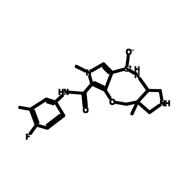 Cc1cc(NC(=O)c2c3c(cn2C)[S+]([O-])NC2CNCC2(C)CO3)ccc1F